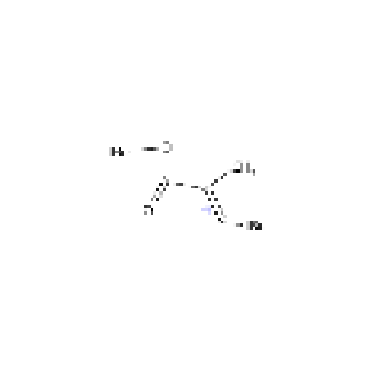 C/C(=C\C(C)(C)C)C(=O)OC(C)(C)C